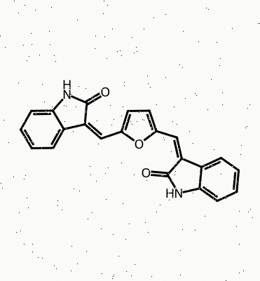 O=C1Nc2ccccc2C1=Cc1ccc(C=C2C(=O)Nc3ccccc32)o1